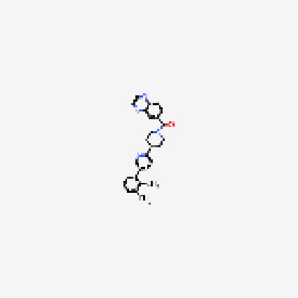 Cc1cccc(-c2ccc(C3CCN(C(=O)c4ccc5nccnc5c4)CC3)nc2)c1C